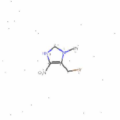 CC(C)N1CNC([N+](=O)[O-])=C1CBr